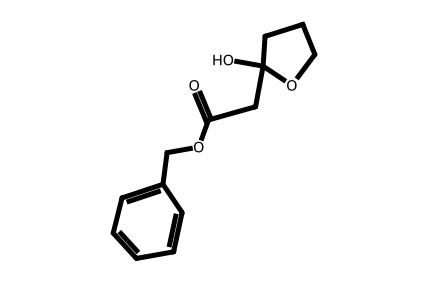 O=C(CC1(O)CCCO1)OCc1ccccc1